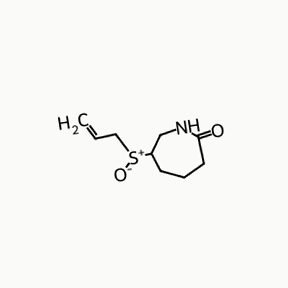 C=CC[S+]([O-])C1CCCC(=O)NC1